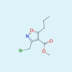 CCCc1onc(CBr)c1C(=O)OC